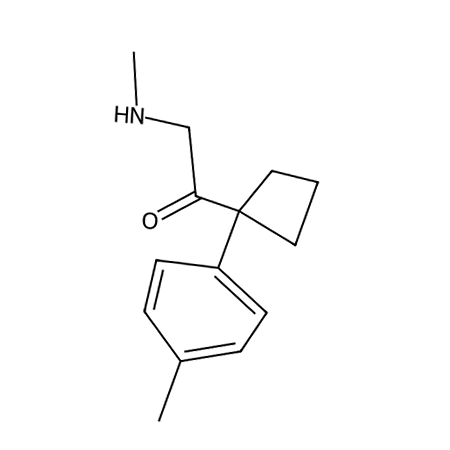 CNCC(=O)C1(c2ccc(C)cc2)CCC1